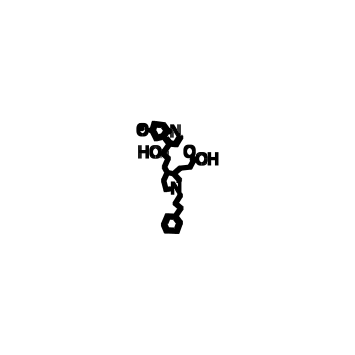 COc1ccc2nccc([C@@H](O)CCC3CCN(CCCc4ccccc4)CC3CCC(=O)O)c2c1